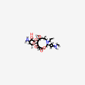 CCCN1C[C@H](C)C[C@@](C)(OC)[C@H](O[C@@H]2O[C@H](C)C[C@H](N(C)C)[C@H]2O)[C@@H](C)C(=O)C(C)(C)C(=O)OC[C@H]1C1CC(N(C)CC)C1